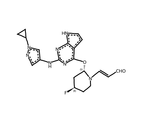 O=CC=CN1CC[C@@H](F)C[C@@H]1Oc1nc(Nc2cnn(C3CC3)c2)nc2[nH]ccc12